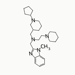 Cn1c(CN(CCN2CCCCC2)CC2CCCN(C3CCCC3)C2)nc2ccccc21